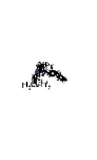 CC(C)N=C1O/C(=C/c2ccc(N(C)C)cc2)C(=O)N1CCc1ccc(Oc2ccccc2)cc1